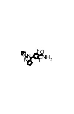 NC(=O)c1c(F)cc(-c2nc(N3CCC3)nc3c2CCC3)cc1F